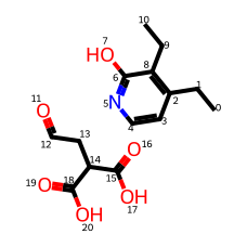 CCc1ccnc(O)c1CC.O=CCC(C(=O)O)C(=O)O